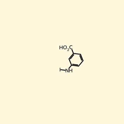 O=C(O)c1cccc(NI)c1